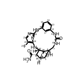 NC(=O)[C@H]1[C@@H]2C[C@H]3CNC(=O)Nc4cccc(c4)Nc4ncc(F)c(n4)N[C@@H]1[C@@H]3C2